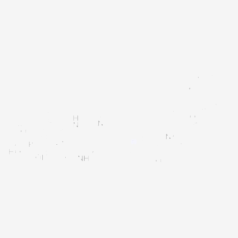 Cc1c(CN(C)C(=O)/C=C/c2cnc3c(c2)NCC(C)(OP(=O)(O)O)C(=O)N3)oc2ccccc12